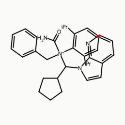 CC(C)c1cccc(C(C)C)c1[N+](Cc1ccccc1)(C(N)=O)C(C1CCCC1)n1ccc2cccnc21